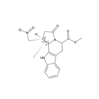 COC(=O)C1Cc2c([nH]c3ccccc23)C23C[C@H](C)[C@@H](C[N+](=O)[O-])[C@@H]2CC(=O)N13